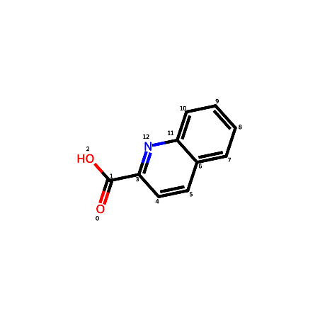 O=C(O)c1[c]cc2ccccc2n1